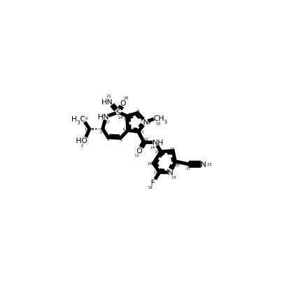 CC(O)[C@H]1C=Cc2c(cn(C)c2C(=O)Nc2cc(F)nc(C#N)c2)S(=N)(=O)N1